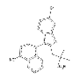 CC(C)(Sc1nc2cc(Br)ccc2n1-c1ccc(C#N)c2ccccc12)C(=O)O